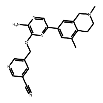 Cc1cc(-c2cnc(N)c(OCc3cncc(C#N)c3)n2)cc2c1CCN(C)C2